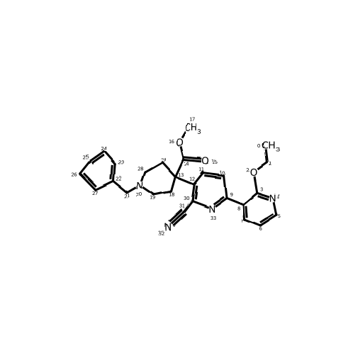 CCOc1ncccc1-c1ccc(C2(C(=O)OC)CCN(Cc3ccccc3)CC2)c(C#N)n1